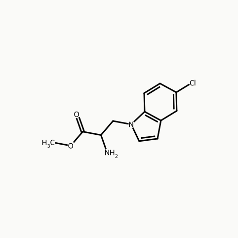 COC(=O)C(N)Cn1ccc2cc(Cl)ccc21